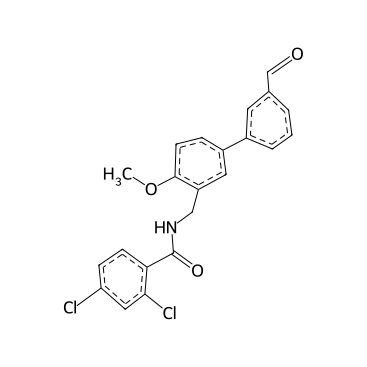 COc1ccc(-c2cccc(C=O)c2)cc1CNC(=O)c1ccc(Cl)cc1Cl